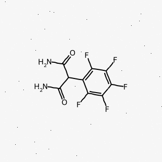 NC(=O)C(C(N)=O)c1c(F)c(F)c(F)c(F)c1F